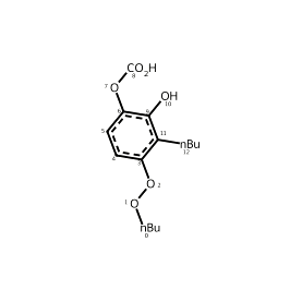 CCCCOOc1ccc(OC(=O)O)c(O)c1CCCC